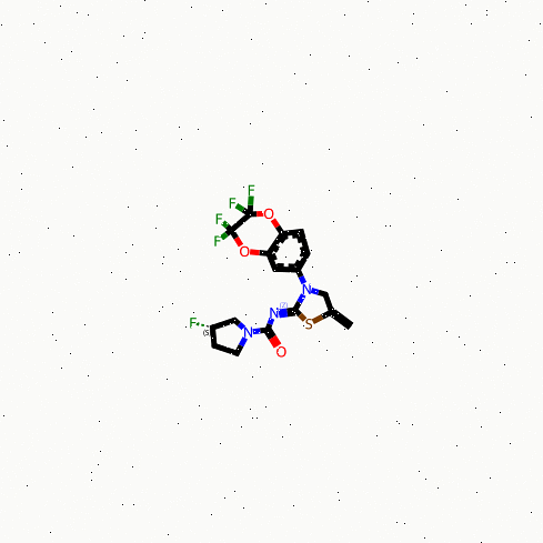 C=C1CN(c2ccc3c(c2)OC(F)(F)C(F)(F)O3)/C(=N/C(=O)N2CC[C@H](F)C2)S1